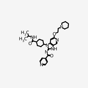 CC(C)NC(=O)C1CCC(n2/c(=N/C(=O)c3ccncc3)[nH]c3cnc(OCCN4CCCCC4)cc32)CC1